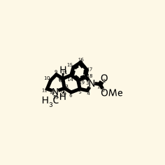 COC(=O)N1CC2C[C@@H]3[C@H](CCCN3C)c3cccc1c32